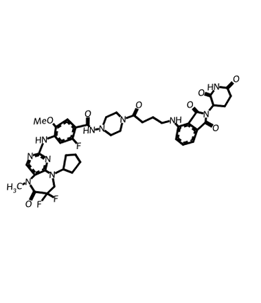 COc1cc(C(=O)NN2CCN(C(=O)CCCNc3cccc4c3C(=O)N(C3CCC(=O)NC3=O)C4=O)CC2)c(F)cc1Nc1ncc2c(n1)N(C1CCCC1)CC(F)(F)C(=O)N2C